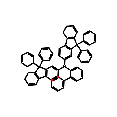 C1=CCC(C2(c3ccccc3)C3=C(C=CCC3)c3ccc(N(c4ccc5c(c4)C(c4ccccc4)(c4ccccc4)C4=C5CCC=C4)c4ccccc4-c4ccccc4)cc32)C=C1